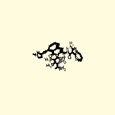 B=C(/C(B)=C(B)\C(B)=C(\B)C)n1c([C@@H](C)NC(=O)c2c(N)nn3cccnc23)cc2cccc(C#Cc3ccn(C)n3)c2c1=O